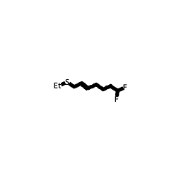 [CH2]CSCC=CCCCC(F)F